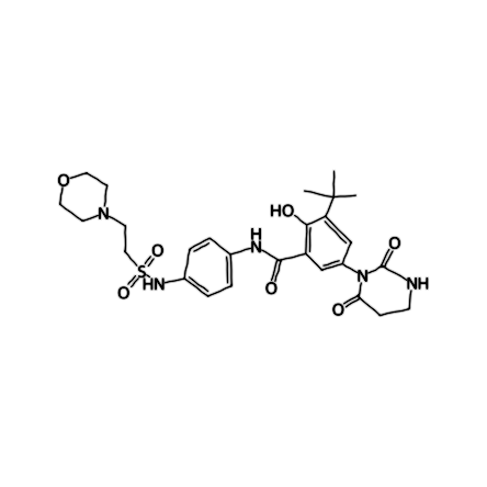 CC(C)(C)c1cc(N2C(=O)CCNC2=O)cc(C(=O)Nc2ccc(NS(=O)(=O)CCN3CCOCC3)cc2)c1O